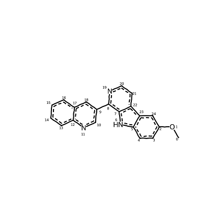 COc1ccc2[nH]c3c(-c4cnc5ccccc5c4)nccc3c2c1